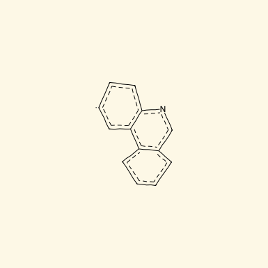 [c]1ccc2ncc3ccccc3c2c1